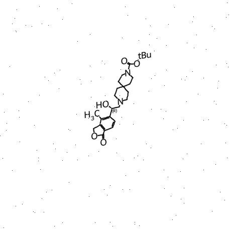 Cc1c([C@@H](O)CN2CCC3(CC2)CCN(C(=O)OC(C)(C)C)CC3)ccc2c1COC2=O